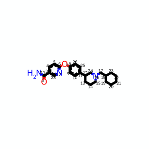 NC(=O)c1ccc(Oc2ccc(C3CCCN(CC4CCCCC4)C3)cc2)nc1